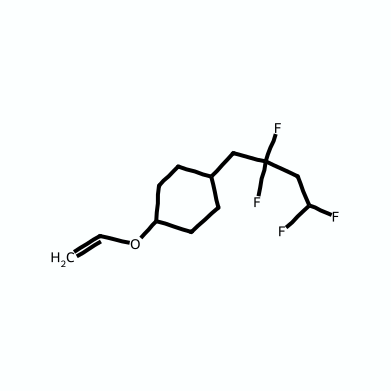 C=COC1CCC(CC(F)(F)CC(F)F)CC1